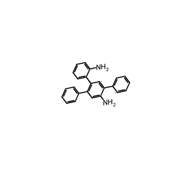 Nc1cc(-c2ccccc2)c(-c2ccccc2N)[c]c1-c1[c]cccc1